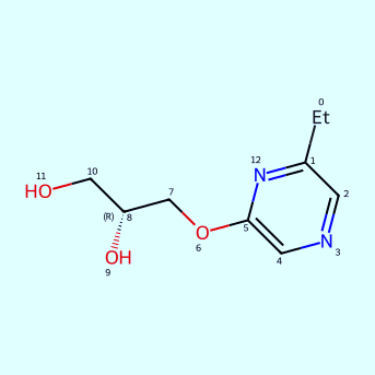 CCc1cncc(OC[C@H](O)CO)n1